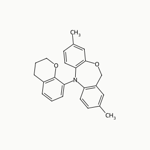 Cc1ccc2c(c1)COc1cc(C)ccc1N2c1cccc2c1OCCC2